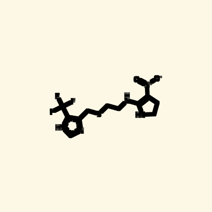 O=[N+]([O-])C1=C(NCCSCc2nc[nH]c2C(F)(F)F)NCC1